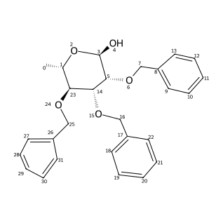 C[C@@H]1O[C@@H](O)[C@H](OCc2ccccc2)[C@H](OCc2ccccc2)[C@H]1OCc1ccccc1